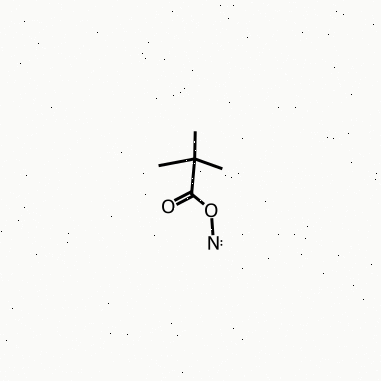 CC(C)(C)C(=O)O[N]